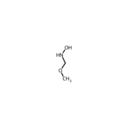 COCNO